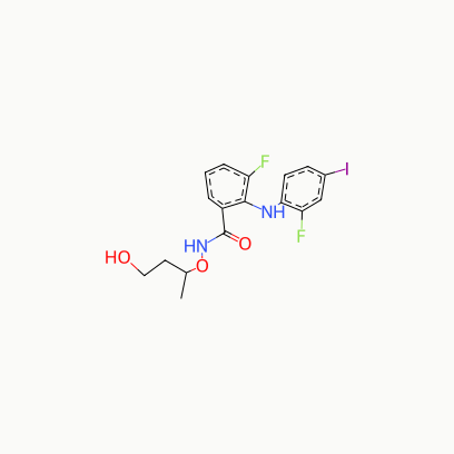 CC(CCO)ONC(=O)c1cccc(F)c1Nc1ccc(I)cc1F